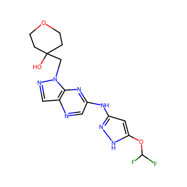 OC1(Cn2ncc3ncc(Nc4cc(OC(F)F)[nH]n4)nc32)CCOCC1